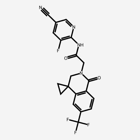 N#Cc1cnc(NC(=O)CN2CC3(CC3)c3cc(C(F)(F)F)ccc3C2=O)c(F)c1